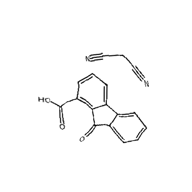 N#CCC#N.O=C(O)c1cccc2c1C(=O)c1ccccc1-2